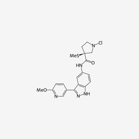 COc1ccc(-c2n[nH]c3ccc(NC(=O)[C@]4(SC)CCN(Cl)C4)cc23)cn1